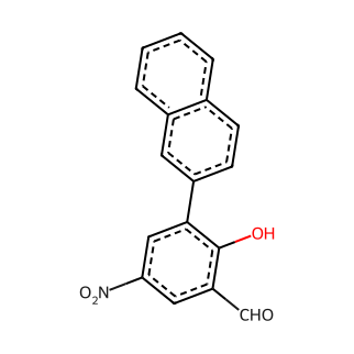 O=Cc1cc([N+](=O)[O-])cc(-c2ccc3ccccc3c2)c1O